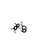 COc1cc2c(cc1OC)[C@@H]1C[C@H]2C[C@@H]1N/C(Cc1ccccc1C)=N/C#N